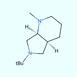 CN1CCC[C@H]2CN(C(C)(C)C)C[C@H]21